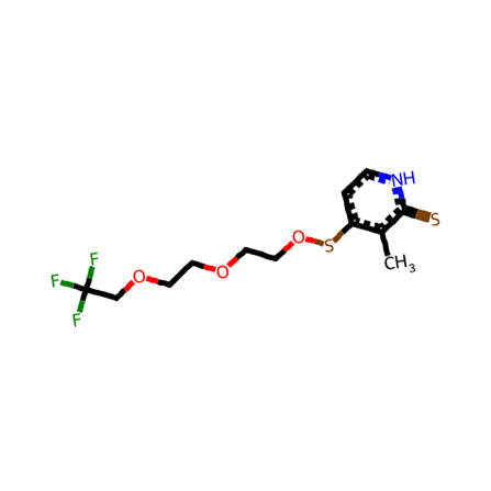 Cc1c(SOCCOCCOCC(F)(F)F)cc[nH]c1=S